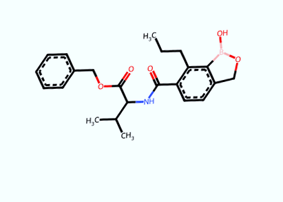 CCCc1c(C(=O)NC(C(=O)OCc2ccccc2)C(C)C)ccc2c1B(O)OC2